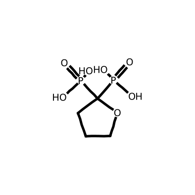 O=P(O)(O)C1(P(=O)(O)O)CCCO1